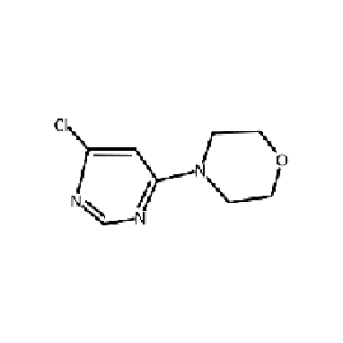 Clc1cc(N2CCOCC2)ncn1